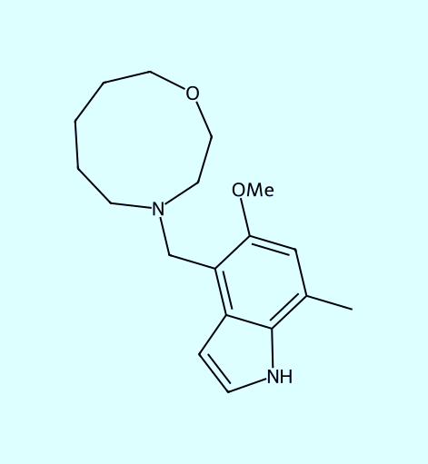 COc1cc(C)c2[nH]ccc2c1CN1CCCCCOCC1